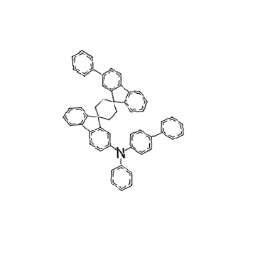 c1ccc(-c2ccc(N(c3ccccc3)c3ccc4c(c3)C3(CCC5(CC3)c3ccccc3-c3ccc(-c6ccccc6)cc35)c3ccccc3-4)cc2)cc1